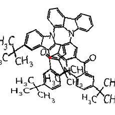 CC(C)(C)c1ccc2c(c1)c(=O)c1cc(-n3c4ccccc4c4cccc(-n5c6ccc(C(C)(C)C)cc6c6cc(C(C)(C)C)ccc65)c43)cc3c(=O)c4cc(C(C)(C)C)ccc4n2c13